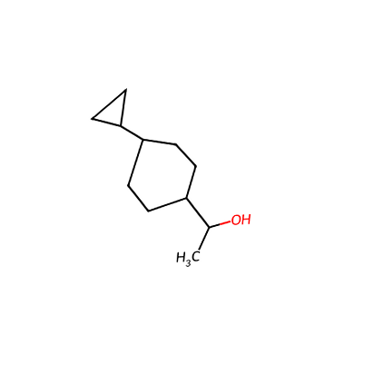 CC(O)C1CCC(C2CC2)CC1